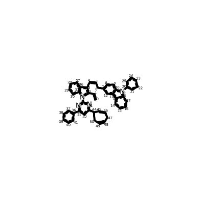 C=Cc1c(/C=C\Cc2ccc3c(c2)c2ccccc2n3-c2ccccc2)c2ccccc2n1-c1nc(-c2ccccc2)cc(C2C=CCC#CC2)n1